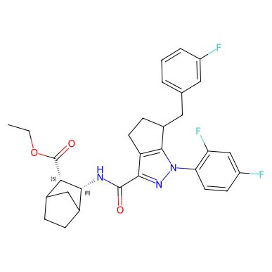 CCOC(=O)[C@H]1C2CCC(C2)[C@H]1NC(=O)c1nn(-c2ccc(F)cc2F)c2c1CCC2Cc1cccc(F)c1